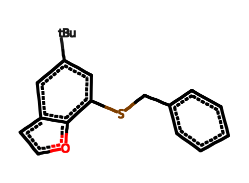 CC(C)(C)c1cc(SCc2ccccc2)c2occc2c1